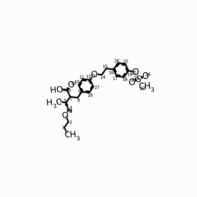 CCCON=C(C)C(Cc1ccc(OCCc2ccc(OS(C)(=O)=O)cc2)cc1)C(=O)O